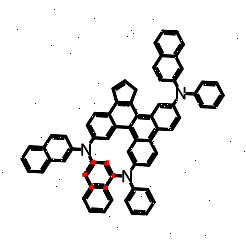 C1=Cc2c(c3c4cc(N(c5ccccc5)c5ccc6ccccc6c5)ccc4c4ccc(N(c5ccccc5)c5ccccc5)cc4c3c3cc(N(c4ccc5ccccc5c4)c4ccc5ccccc5c4)ccc23)C1